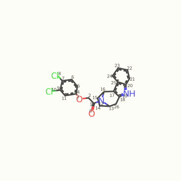 O=C(COc1ccc(Cl)c(Cl)c1)N1C2CCC1c1c([nH]c3ccccc13)C2